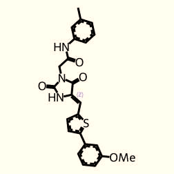 COc1cccc(-c2ccc(/C=C3\NC(=O)N(CC(=O)Nc4cccc(C)c4)C3=O)s2)c1